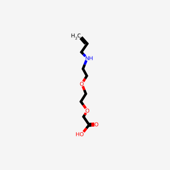 C=CCNCCOCCOCC(=O)O